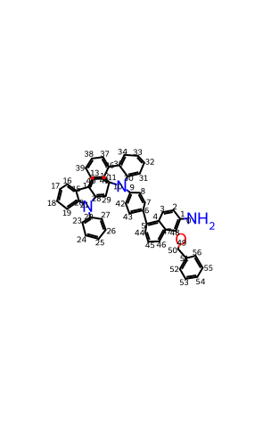 Nc1ccc2c(-c3ccc(N(c4ccc5c6ccccc6n(-c6ccccc6)c5c4)c4ccccc4-c4ccccc4)cc3)cccc2c1OCc1ccccc1